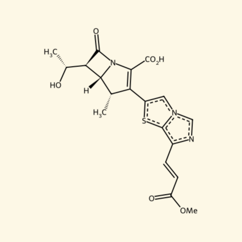 COC(=O)/C=C/c1ncn2cc(C3=C(C(=O)O)N4C(=O)[C@H]([C@@H](C)O)[C@H]4[C@H]3C)sc12